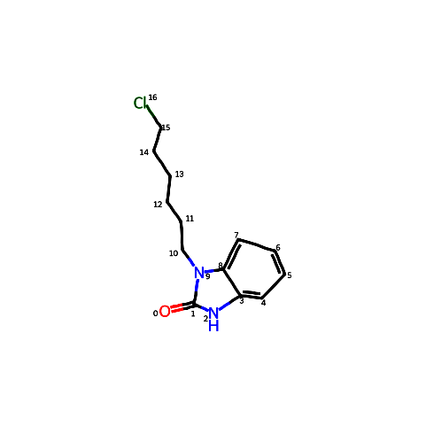 O=c1[nH]c2ccccc2n1CCCCCCCl